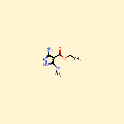 CCOC(=O)c1c(N)n[nH]c1NC